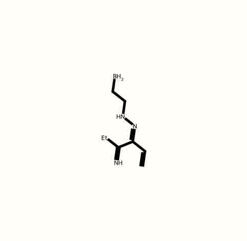 BCCN/N=C(/C=C)C(=N)CC